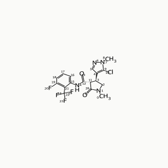 CN1C[C@H](c2cnn(C)c2Cl)[C@@H](C(=O)Nc2cccc(F)c2C(F)(F)F)C1=O